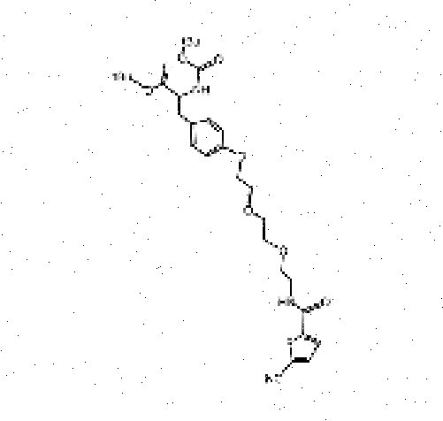 CC(C)(C)OC(=O)NC(Cc1ccc(OCCOCCOCCNC(=O)c2ccc(C#N)s2)cc1)C(=O)OC(C)(C)C